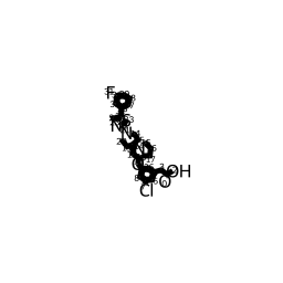 O=C(O)Cc1cc(Cl)cc(OCCC2(N3CCCC3)CCN(c3ncc(-c4cccc(F)c4)s3)CC2)c1